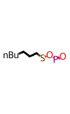 CCCCCCCSOP=O